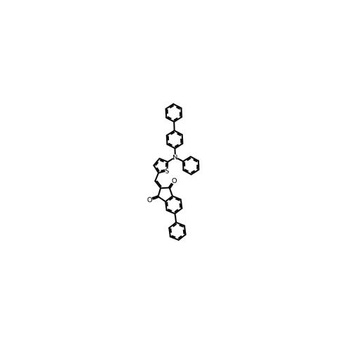 O=C1/C(=C\c2ccc(N(c3ccccc3)c3ccc(-c4ccccc4)cc3)s2)C(=O)c2cc(-c3ccccc3)ccc21